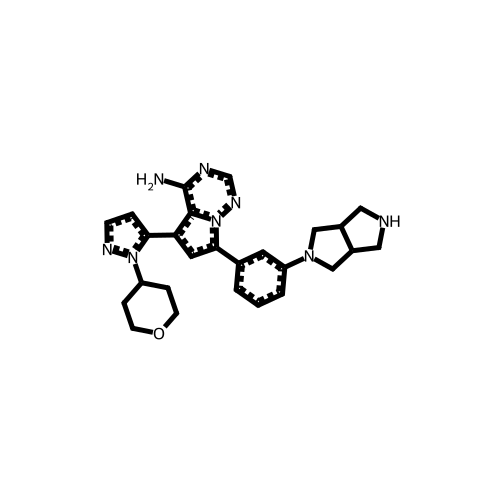 Nc1ncnn2c(-c3cccc(N4CC5CNCC5C4)c3)cc(-c3ccnn3C3CCOCC3)c12